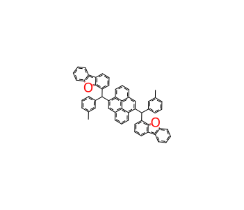 Cc1cccc(C(c2cc3cccc4c(C(c5cccc(C)c5)c5cccc6c5oc5ccccc56)cc5cccc2c5c34)c2cccc3c2oc2ccccc23)c1